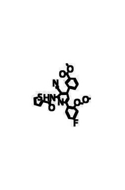 COCOc1cc(F)ccc1-c1cc(-c2cccc(C(=O)OC)c2)c(C#N)c(NC(=O)c2cccs2)n1